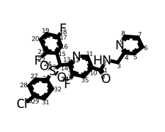 O=C(NCc1ccccn1)c1cnc(C(c2cc(F)ccc2F)S(=O)(=O)c2ccc(Cl)cc2)c(F)c1